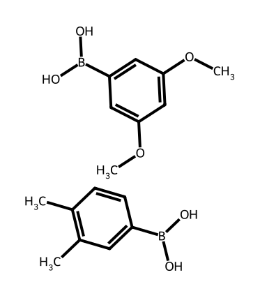 COc1cc(OC)cc(B(O)O)c1.Cc1ccc(B(O)O)cc1C